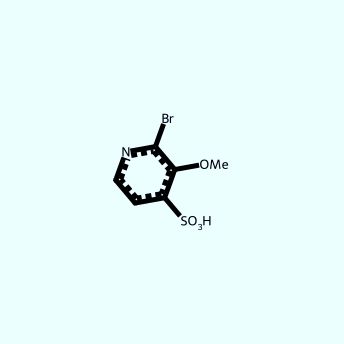 COc1c(S(=O)(=O)O)ccnc1Br